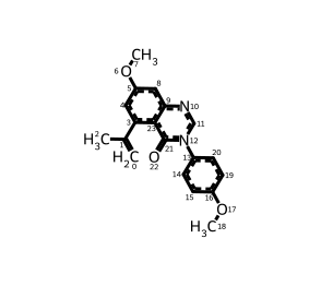 C=C(C)c1cc(OC)cc2ncn(-c3ccc(OC)cc3)c(=O)c12